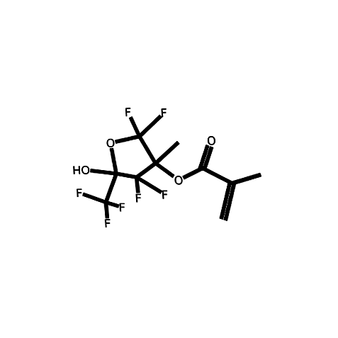 C=C(C)C(=O)OC1(C)C(F)(F)OC(O)(C(F)(F)F)C1(F)F